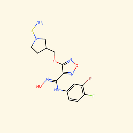 NSN1CCC(COc2nonc2/C(=N/O)Nc2ccc(F)c(Br)c2)C1